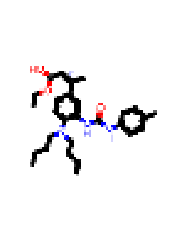 CCCCN(CCCC)c1ccc(/C(C)=C\C(O)OCC)cc1NC(=O)Nc1ccc(C)cc1